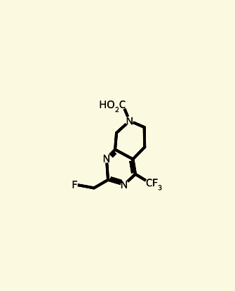 O=C(O)N1CCc2c(nc(CF)nc2C(F)(F)F)C1